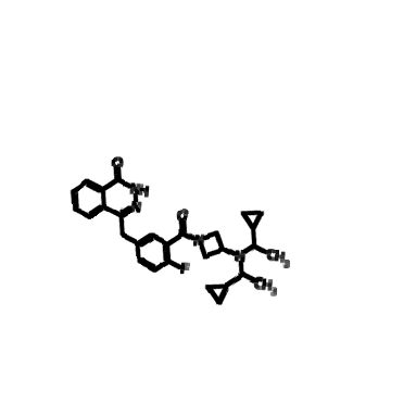 CC(C1CC1)N(C1CN(C(=O)c2cc(Cc3n[nH]c(=O)c4ccccc34)ccc2F)C1)C(C)C1CC1